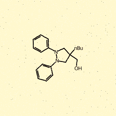 CCCCC1(CO)CN(c2ccccc2)N(c2ccccc2)C1